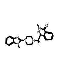 Cn1nc(C(=O)N2CCN(c3nc4ccccc4n3C)CC2)c2ccccc2c1=O